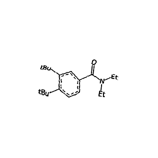 CCN(CC)C(=O)c1ccc(C(C)(C)C)c(C(C)(C)C)c1